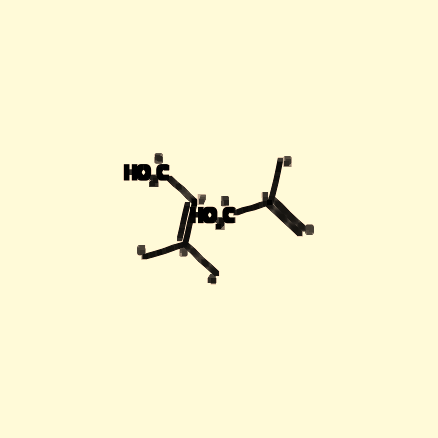 C=C(C)C(=O)O.CC(C)=CC(=O)O